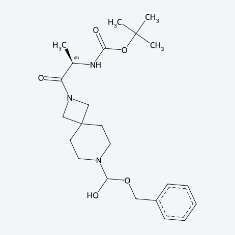 C[C@@H](NC(=O)OC(C)(C)C)C(=O)N1CC2(CCN(C(O)OCc3ccccc3)CC2)C1